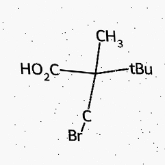 CC(C)(C)C(C)(CBr)C(=O)O